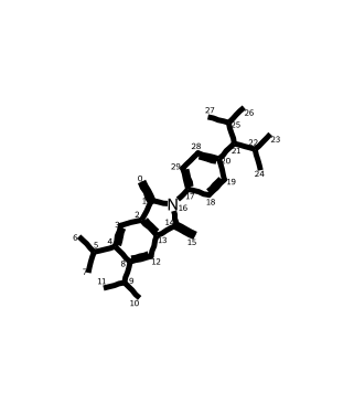 C=c1c2cc(C(C)C)c(C(C)C)cc2c(=C)n1-c1ccc(C(C(C)C)C(C)C)cc1